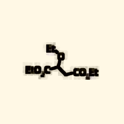 CCOC(=O)CC(OCC)C(=O)OCC